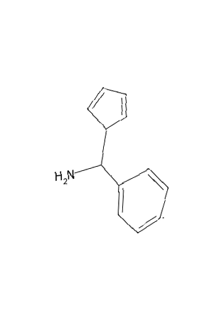 NC(c1cc[c]cc1)C1C=CC=C1